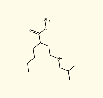 BOC(=O)C(CCCC)CCNCC(C)C